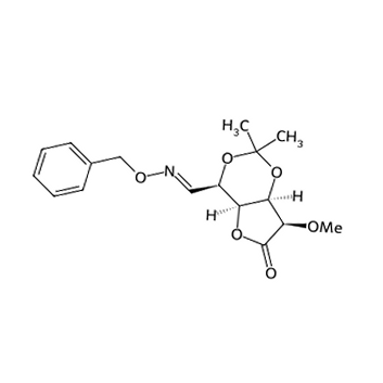 CO[C@H]1C(=O)O[C@@H]2[C@H]1OC(C)(C)O[C@@H]2/C=N/OCc1ccccc1